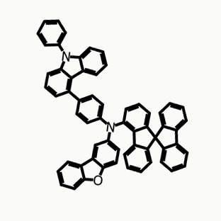 c1ccc(-n2c3ccccc3c3c(-c4ccc(N(c5ccc6oc7ccccc7c6c5)c5cccc6c5-c5ccccc5C65c6ccccc6-c6ccccc65)cc4)cccc32)cc1